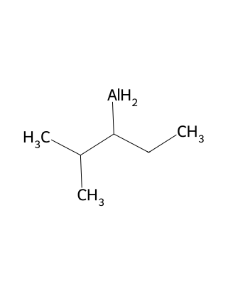 CC[CH]([AlH2])C(C)C